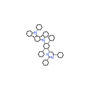 c1ccc(-c2cc(-c3cc(-c4ccccc4)c(-n4c5ccccc5c5c4ccc4c6ccccc6n(-c6ccccc6)c45)cc3-c3ccccc3)nc(-c3ccccc3)n2)cc1